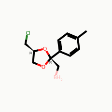 BC[C@@]1(c2ccc(C)cc2)OC[C@@H](CCl)O1